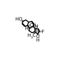 C[C@]12CC[C@H]3[C@@H](C=CC4C[C@H](O)C=C[C@@]43C)[C@@H]1C[C@H](F)[C@@H]2O